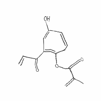 C=CC(=O)c1cc(O)ccc1OC(=O)C(=C)C